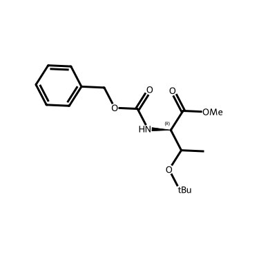 COC(=O)[C@H](NC(=O)OCc1ccccc1)C(C)OC(C)(C)C